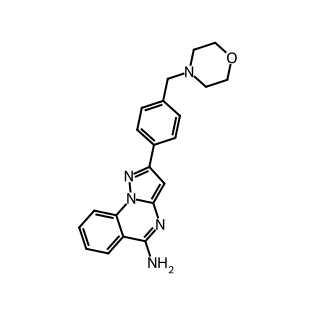 Nc1nc2cc(-c3ccc(CN4CCOCC4)cc3)nn2c2ccccc12